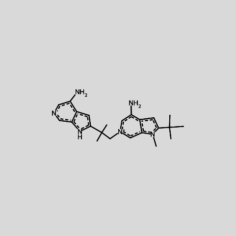 Cn1c(C(C)(C)C)cc2c(N)c[n+](CC(C)(C)c3cc4c(N)cncc4[nH]3)cc21